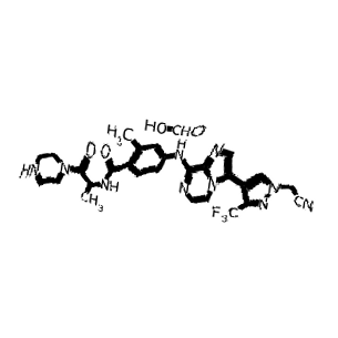 Cc1cc(Nc2nccn3c(-c4cn(CC#N)nc4C(F)(F)F)cnc23)ccc1C(=O)NC(C)C(=O)N1CCNCC1.O=CO